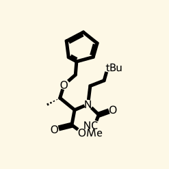 COC(=O)C([C@H](C)OCc1ccccc1)N(CCC(C)(C)C)C(=O)C#N